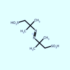 CC(C)(CS(=O)(=O)O)/N=N/C(C)(C)CS(=O)(=O)O